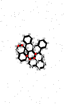 C1=NC2=NC=NC3=NC(c4ccccc4N4c5ccccc5C5(c6ccccc6Sc6ccccc65)c5ccccc54)=NC(=N1)N23